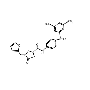 CCN(c1ccc(NC(=O)C2CC(=O)N(Cc3ccco3)C2)cc1)c1nc(C)cc(C)n1